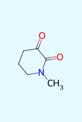 CN1CCCC(=O)C1=O